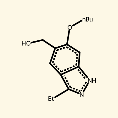 CCCCOc1cc2[nH]nc(CC)c2cc1CO